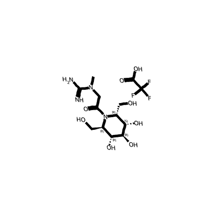 CN(CC(=O)N1[C@H](CO)[C@H](O)[C@@H](O)[C@H](O)[C@H]1CO)C(=N)N.O=C(O)C(F)(F)F